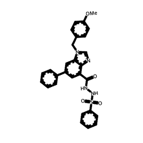 COc1ccc(Cn2cnc3c(C(=O)NNS(=O)(=O)c4ccccc4)cc(-c4ccccc4)cc32)cc1